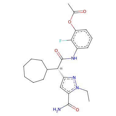 CCn1nc([C@@H](C(=O)Nc2cccc(OC(C)=O)c2F)C2CCCCCC2)cc1C(N)=O